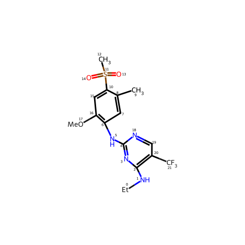 CCNc1nc(Nc2cc(C)c(S(C)(=O)=O)cc2OC)ncc1C(F)(F)F